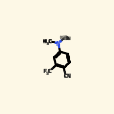 CC[C@H](C)N(C)c1ccc(C#N)c(C(F)(F)F)c1